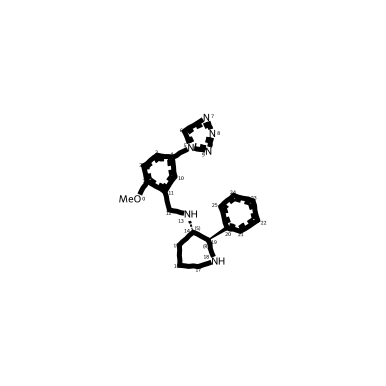 COc1ccc(-n2cnnn2)cc1CN[C@H]1CCCN[C@@H]1c1ccccc1